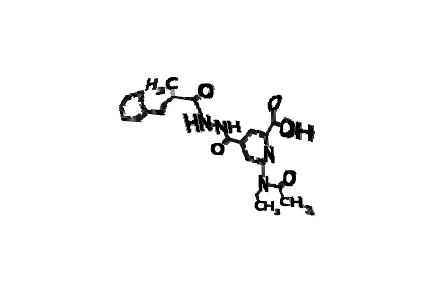 CCN(C(C)=O)c1cc(C(=O)NNC(=O)[C@@H](C)Cc2ccccc2)cc(C(=O)O)n1